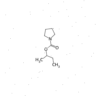 CCC(C)OC(=O)N1C[CH]CC1